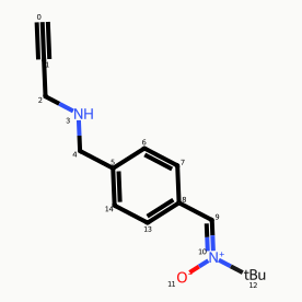 C#CCNCc1ccc(/C=[N+](\[O-])C(C)(C)C)cc1